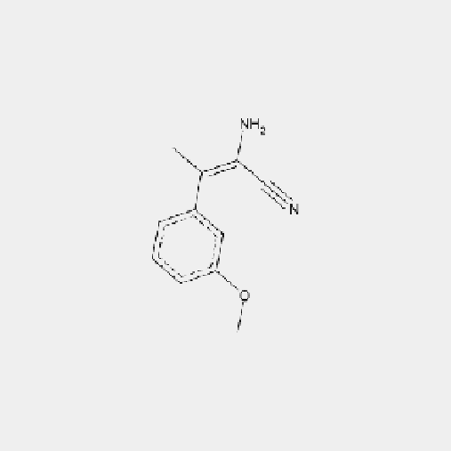 COc1cccc(/C(C)=C(/N)C#N)c1